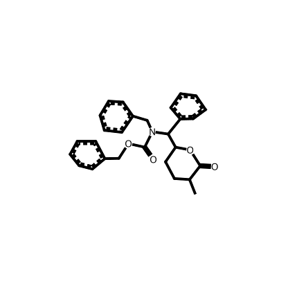 CC1CCC(C(c2ccccc2)N(Cc2ccccc2)C(=O)OCc2ccccc2)OC1=O